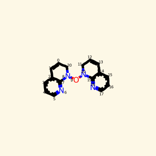 C1=Cc2cccnc2N(ON2CC=Cc3cccnc32)C1